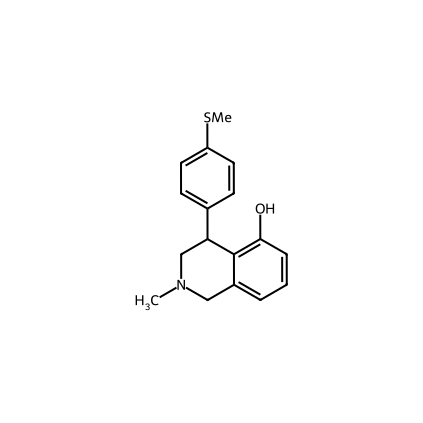 CSc1ccc(C2CN(C)Cc3cccc(O)c32)cc1